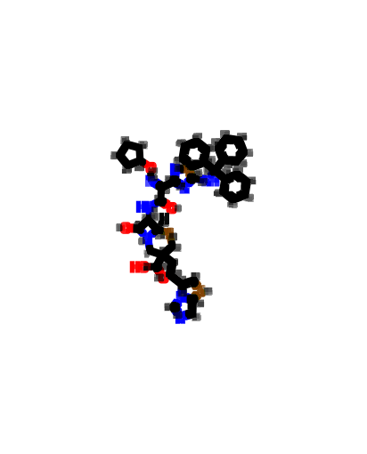 O=C(N[C@@H]1C(=O)N2CC(C=Cc3csc4cncn34)(C(=O)O)CS[C@H]12)C(=NOC1CCCC1)c1nsc(NC(c2ccccc2)(c2ccccc2)c2ccccc2)n1